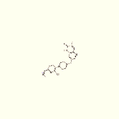 C/N=C\c1ccc(N2CCN(Cc3cnc4cc(C)c(=O)[nH]c4c3)CC2)c(Cl)n1